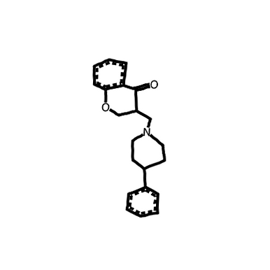 O=C1c2ccccc2OCC1CN1CCC(c2ccccc2)CC1